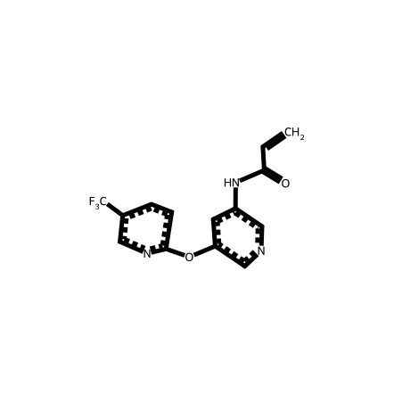 C=CC(=O)Nc1cncc(Oc2ccc(C(F)(F)F)cn2)c1